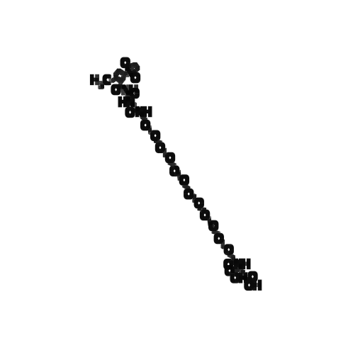 CCc1ccc(N2C(=O)C=CC2=O)cc1C(=O)NCC(=O)NCC(=O)NCCOCCOCCOCCOCCOCCOCCOCCOCCOCCOCCOCCOCCC(=O)N[C@@H](CCC(=O)O)C(=O)O